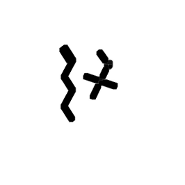 C=CCCCC.CO[Si](C)(C)C